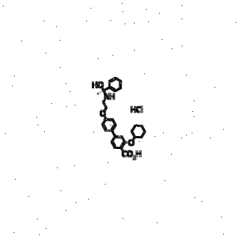 C[C@@](O)(NCCOc1ccc(-c2ccc(C(=O)O)c(OC3CCCCC3)c2)cc1)c1ccccc1.Cl